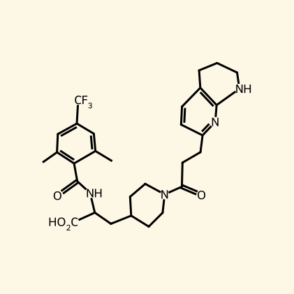 Cc1cc(C(F)(F)F)cc(C)c1C(=O)NC(CC1CCN(C(=O)CCc2ccc3c(n2)NCCC3)CC1)C(=O)O